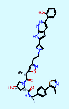 Cc1ncsc1-c1ccc([C@H](C)NC(=O)[C@@H]2C[C@@H](O)CN2C(=O)[C@@H](c2cc(CCN3CC(c4cc5cc(-c6ccccc6O)nnc5[nH]4)C3)no2)C(C)C)cc1